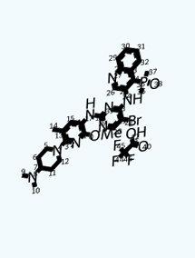 COc1nc(N2CCC(N(C)C)CC2)c(C)cc1Nc1ncc(Br)c(Nc2cnc3ccccc3c2P(C)(C)=O)n1.O=C(O)C(F)(F)F